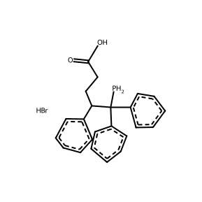 Br.O=C(O)CCC(c1ccccc1)C(P)(c1ccccc1)c1ccccc1